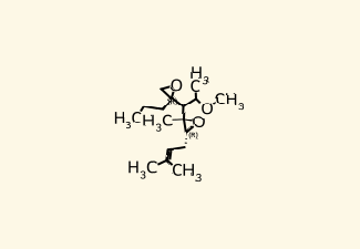 CCC[C@@]1(C(C(C)OC)C2(C)O[C@@H]2CC=C(C)C)CO1